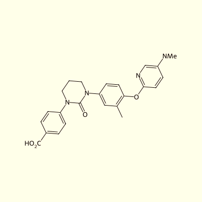 CNc1ccc(Oc2ccc(N3CCCN(c4ccc(C(=O)O)cc4)C3=O)cc2C)nc1